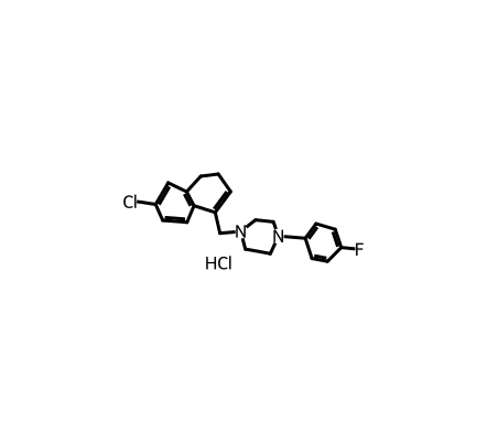 Cl.Fc1ccc(N2CCN(CC3=CCCc4cc(Cl)ccc43)CC2)cc1